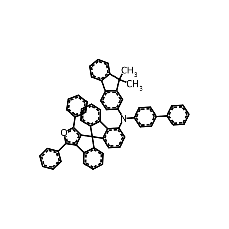 CC1(C)c2ccccc2-c2ccc(N(c3ccc(-c4ccccc4)cc3)c3cccc4c3-c3ccccc3C43c4ccccc4-c4c(-c5ccccc5)oc(-c5ccccc5)c43)cc21